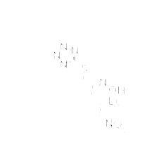 CCC(=CC(CSc1nnnn1C)=NO)C(C)[N+](=O)[O-]